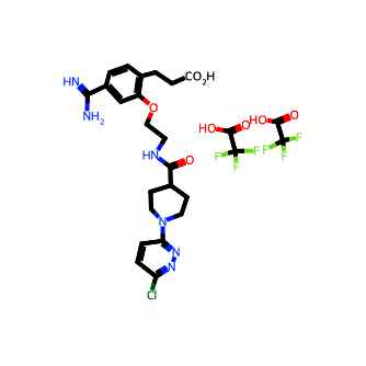 N=C(N)c1ccc(CCC(=O)O)c(OCCNC(=O)C2CCN(c3ccc(Cl)nn3)CC2)c1.O=C(O)C(F)(F)F.O=C(O)C(F)(F)F